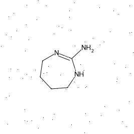 NC1=NCCCCN1